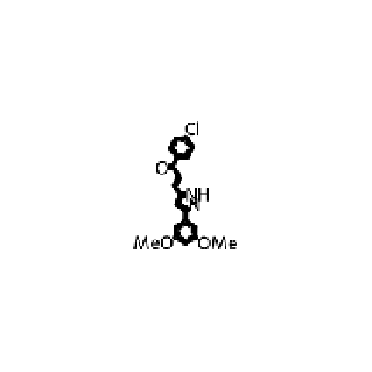 COc1cc(OC)cc(-c2cc(C=CC(=O)c3ccc(Cl)cc3)[nH]n2)c1